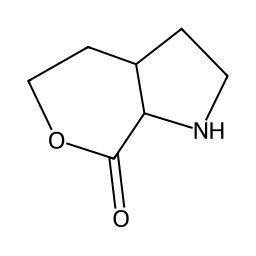 O=C1OCCC2CCNC12